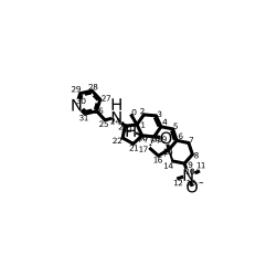 CC12CC=C3C=C4CCC([N+](C)(C)[O-])C[C@]45CC[C@]3(O5)[C@@H]1CCC2NCc1cccnc1